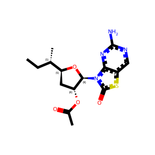 CC[C@H](C)[C@@H]1C[C@@H](OC(C)=O)[C@H](n2c(=O)sc3cnc(N)nc32)O1